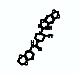 CC(C)C1CN(C(=O)Nc2ccc3c(c2)OCCO3)CCN1/C(=N/C#N)Nc1ccc2c(c1)OCO2